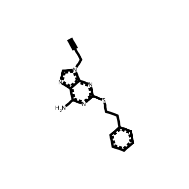 C#CCn1cnc2c(N)nc(SCCc3ccccc3)nc21